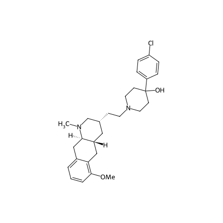 COc1cccc2c1C[C@H]1C[C@@H](CCN3CCC(O)(c4ccc(Cl)cc4)CC3)CN(C)[C@@H]1C2